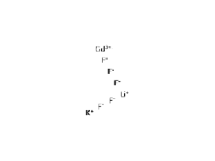 [F-].[F-].[F-].[F-].[F-].[Gd+3].[K+].[Li+]